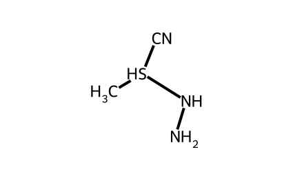 C[SH](C#N)NN